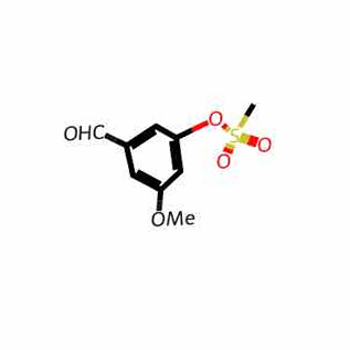 COc1cc(C=O)cc(OS(C)(=O)=O)c1